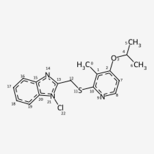 Cc1c(OC(C)C)ccnc1SCc1nc2ccccc2n1Cl